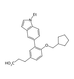 CCn1ccc2cc(-c3cc(CCC(=O)O)ccc3OCC3CCCC3)ccc21